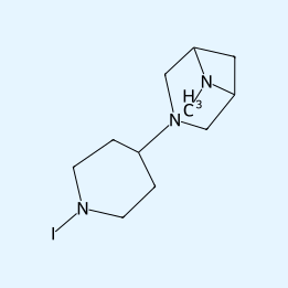 CN1C2CC1CN(C1CCN(I)CC1)C2